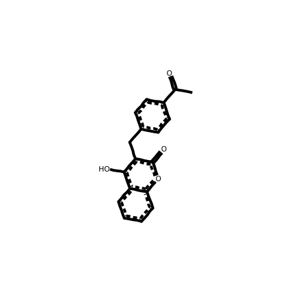 CC(=O)c1ccc(Cc2c(O)c3ccccc3oc2=O)cc1